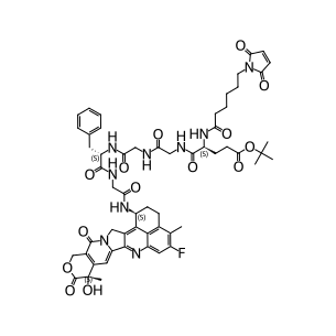 Cc1c(F)cc2nc3c(c4c2c1CC[C@@H]4NC(=O)CNC(=O)[C@H](Cc1ccccc1)NC(=O)CNC(=O)CNC(=O)[C@H](CCC(=O)OC(C)(C)C)NC(=O)CCCCCN1C(=O)C=CC1=O)Cn1c-3cc2c(c1=O)COC(=O)[C@@]2(C)O